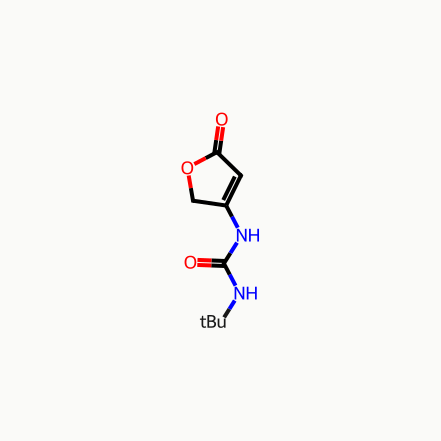 CC(C)(C)NC(=O)NC1=CC(=O)OC1